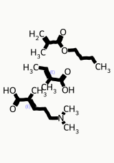 C/C(=C\CCN(C)C)C(=O)O.C/C=C(\C)C(=O)O.C=C(C)C(=O)OCCCC